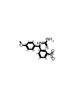 COc1ccc(C(NC(N)=S)c2cccc([N+](=O)[O-])c2)cc1